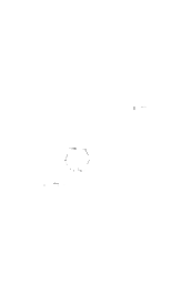 CCCCCCCCCCCCCCc1cc[n+](CCCCCCC)cc1